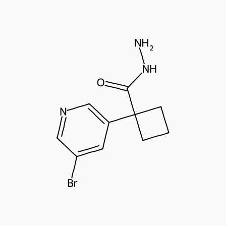 NNC(=O)C1(c2cncc(Br)c2)CCC1